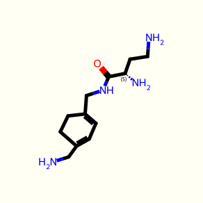 NCC[C@H](N)C(=O)NCC1=CC=C(CN)CC1